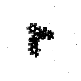 O=C(Nc1nccs1)[C@H](CC1CCCCC1)N1CCN(S(=O)(=O)Cc2ccc(F)cc2)CC1=O